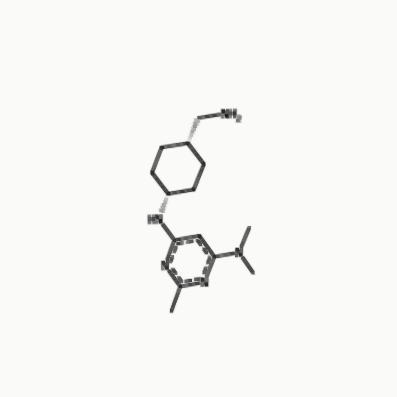 Cc1nc(N[C@H]2CC[C@@H](CN)CC2)cc(N(C)C)n1